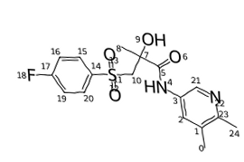 Cc1cc(NC(=O)C(C)(O)CS(=O)(=O)c2ccc(F)cc2)cnc1C